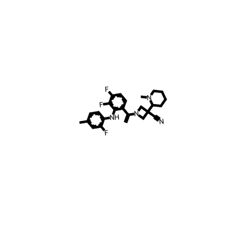 C=C(c1ccc(F)c(F)c1Nc1ccc(C)cc1F)N1CC(C#N)(C2CCCCN2C)C1